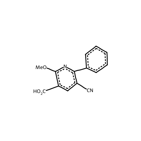 COc1nc(-c2ccccc2)c(C#N)cc1C(=O)O